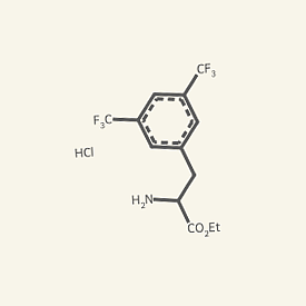 CCOC(=O)C(N)Cc1cc(C(F)(F)F)cc(C(F)(F)F)c1.Cl